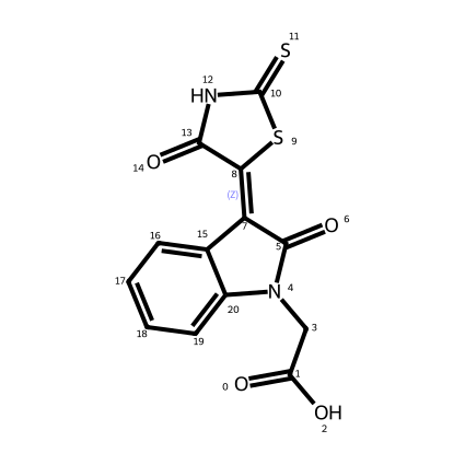 O=C(O)CN1C(=O)/C(=C2\SC(=S)NC2=O)c2ccccc21